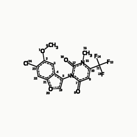 COc1cc2c(-n3c(=O)cc(C(F)(F)F)n(C)c3=O)coc2cc1Cl